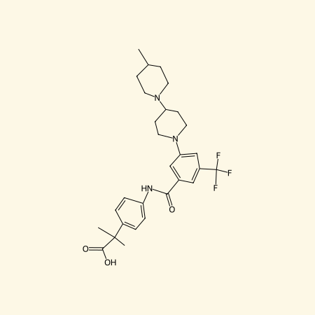 CC1CCN(C2CCN(c3cc(C(=O)Nc4ccc(C(C)(C)C(=O)O)cc4)cc(C(F)(F)F)c3)CC2)CC1